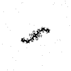 O=C1NC(c2cnc(-c3ccc(-c4cccs4)s3)s2)=C2C(=O)NC(c3cnc(-c4ccc(-c5cccs5)s4)s3)=C12